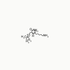 CC(C)(C)SSCC(NC(=O)CCCCCN)C(N)=O